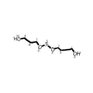 OCCC[O][Ti][O]CCCO